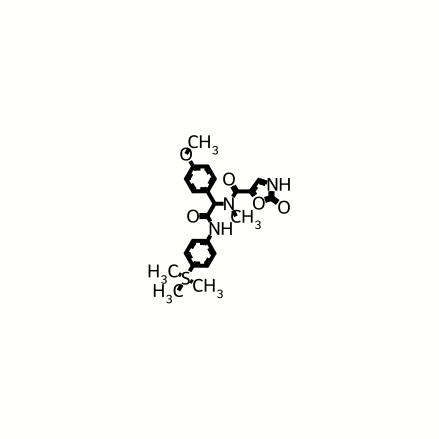 COc1ccc(C(C(=O)Nc2ccc(S(C)(C)C)cc2)N(C)C(=O)c2c[nH]c(=O)o2)cc1